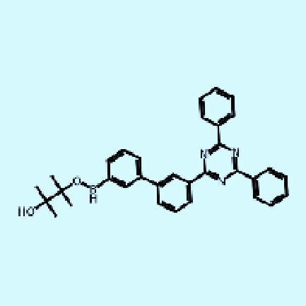 CC(C)(O)C(C)(C)OBc1cccc(-c2cccc(-c3nc(-c4ccccc4)nc(-c4ccccc4)n3)c2)c1